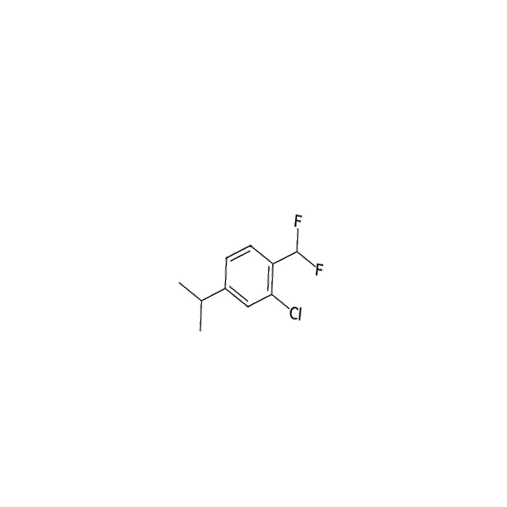 CC(C)c1ccc(C(F)F)c(Cl)c1